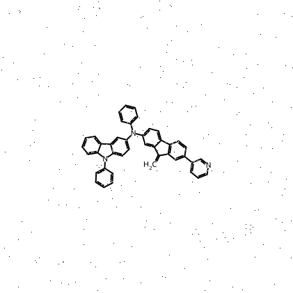 C=C1c2cc(-c3cccnc3)ccc2-c2ccc(N(c3ccccc3)c3ccc4c(c3)c3ccccc3n4-c3ccccc3)cc21